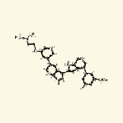 COc1cc(F)cc(-c2cncc3[nH]c(-c4n[nH]c5ncc(-c6cncc(OCCN(C)C)c6)cc45)cc23)c1